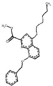 CCCCCCc1cc(C(=O)OC)nc2c(OCc3ccccc3)cccc12